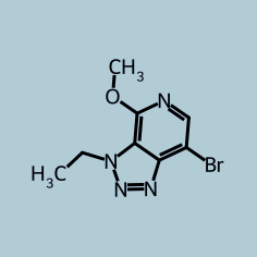 CCn1nnc2c(Br)cnc(OC)c21